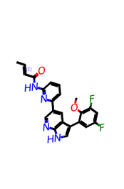 C/C=C/C(=O)Nc1cccc(-c2cnc3[nH]cc(-c4cc(F)cc(F)c4OC)c3c2)n1